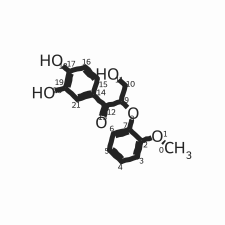 COc1ccccc1OC(CO)C(=O)c1ccc(O)c(O)c1